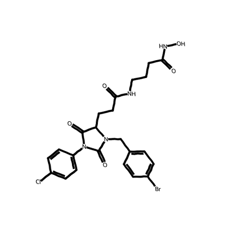 O=C(CCCNC(=O)CCC1C(=O)N(c2ccc(Cl)cc2)C(=O)N1Cc1ccc(Br)cc1)NO